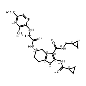 COc1cnc(NNC(=S)N[C@H]2CCc3sc(NC(=O)C4CC4)c(C(=O)NCC4CC4)c3C2)c(C)n1